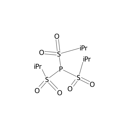 CC(C)S(=O)(=O)P(S(=O)(=O)C(C)C)S(=O)(=O)C(C)C